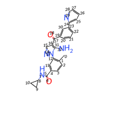 Cc1ccc(C(=O)NC2CC2)cc1-n1ncc(C(=O)c2cccc(-c3ccccn3)c2)c1N